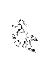 Cc1cccc(C)c1-c1cc2nc(n1)NS(=O)(=O)c1cccc(c1)C(=O)N(C1CCC(N)CC1)[C@H](CC(C)C)CC2